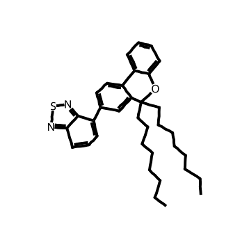 CCCCCCCCC1(CCCCCCCC)Oc2ccccc2-c2ccc(-c3cccc4nsnc34)cc21